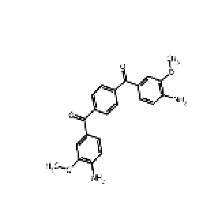 COc1cc(C(=O)c2ccc(C(=O)c3ccc(N)c(OC)c3)cc2)ccc1N